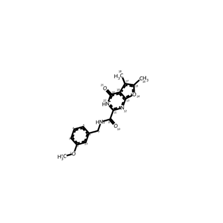 COc1cccc(CNC(=O)c2nc3oc(C)c(C)c3c(=O)[nH]2)c1